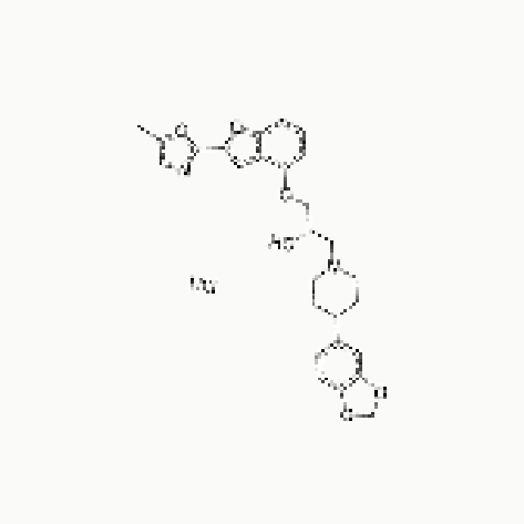 Cc1cnc(-c2cc3c(OC[C@@H](O)CN4CCC(c5ccc6c(c5)OCO6)CC4)cccc3o2)o1.Cl